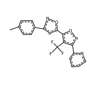 Cc1ccc(-c2noc(-c3onc(-c4ccccn4)c3C(F)(F)F)n2)cc1